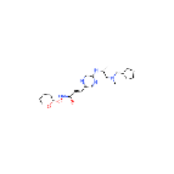 C[C@H](CN(C)CC1CCCC1)Nc1cnc(/C=C/C(=O)NOC2CCCCO2)cn1